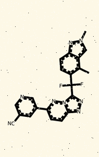 Cc1c(C(F)(F)c2nnc3ccc(-c4cncc(C#N)c4)nn23)ccc2nn(C)cc12